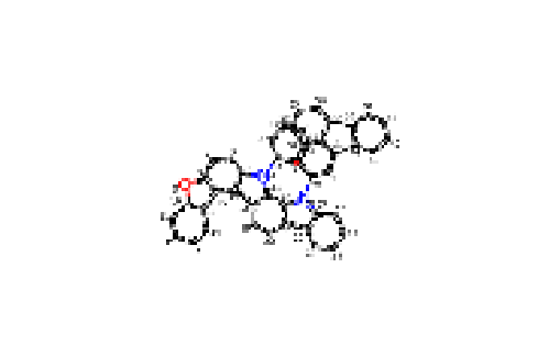 c1ccc(-n2c3ccc4oc5ccccc5c4c3c3ccc4c5ccccc5n(-c5cc6c7c(cccc7c5)-c5ccccc5-6)c4c32)cc1